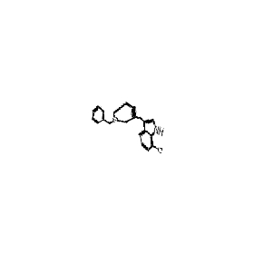 Clc1cccc2c(C3=CCCN(Cc4ccccc4)C3)c[nH]c12